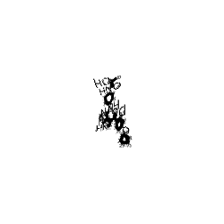 CC(O)C(=O)NC1CCC(Nc2ncnc3[nH]cc(C(=O)c4ccc(Oc5ccccc5)cc4Cl)c23)CC1